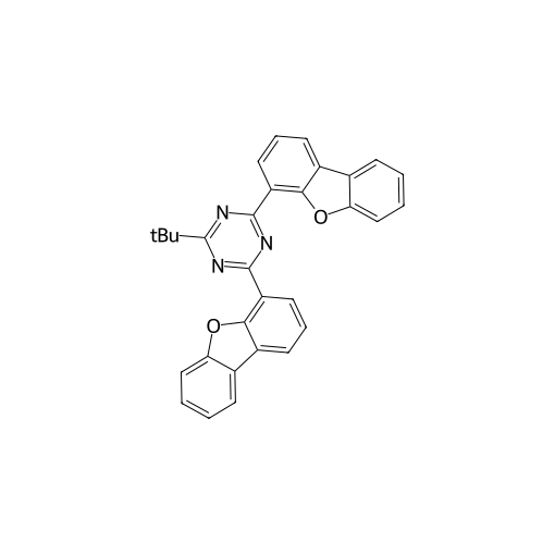 CC(C)(C)c1nc(-c2cccc3c2oc2ccccc23)nc(-c2cccc3c2oc2ccccc23)n1